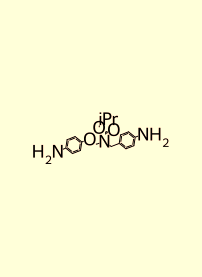 CC(C)OC(=O)N(COc1ccc(N)cc1)Cc1ccc(N)cc1